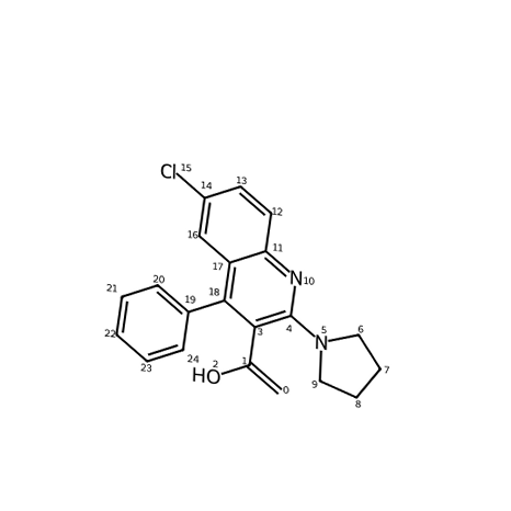 C=C(O)c1c(N2CCCC2)nc2ccc(Cl)cc2c1-c1ccccc1